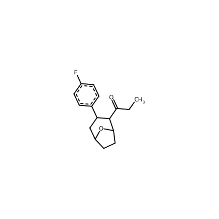 CCC(=O)C1C2CCC(CC1c1ccc(F)cc1)O2